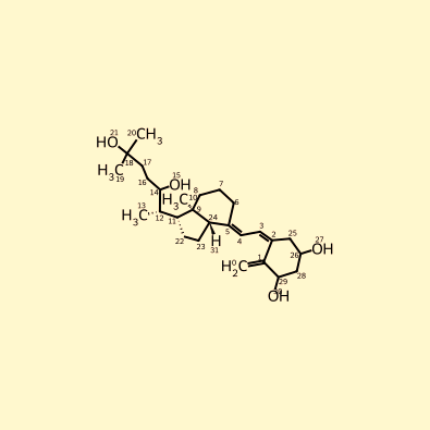 C=C1C(=CC=C2CCC[C@]3(C)[C@@H]([C@H](C)C(O)CCC(C)(C)O)CC[C@@H]23)CC(O)CC1O